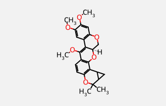 COC1=C2c3cc(OC)c(OC)cc3OC[C@H]2Oc2c1ccc1c2C2CC2C(C)(C)O1